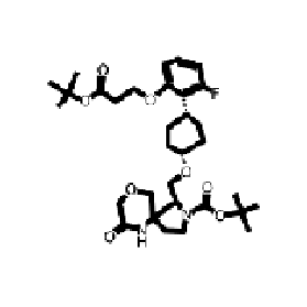 CC(C)(C)OC(=O)CCOc1cccc(F)c1[C@H]1CC[C@@H](OCC2N(C(=O)OC(C)(C)C)CCC23COCC(=O)N3)CC1